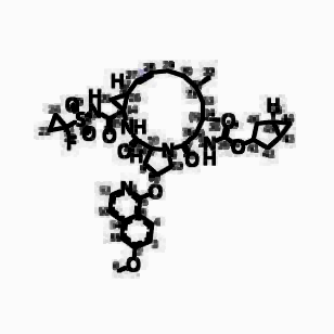 COc1ccc2c(O[C@@H]3C[C@H]4C(=O)N[C@]5(C(=O)NS(=O)(=O)C6(F)CC6)C[C@H]5/C=C\CC[C@@H](C)C[C@@H](C)[C@H](NC(=O)OC5CC6C[C@H]6C5)C(=O)N4C3)nccc2c1